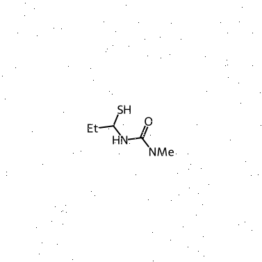 CCC(S)NC(=O)NC